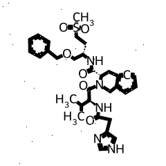 CC(C)[C@H](NC(=O)Cc1c[nH]cn1)C(=O)N1Cc2ccccc2C[C@H]1C(=O)N[C@@H](CCS(C)(=O)=O)COCc1ccccc1